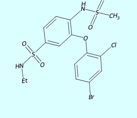 CCNS(=O)(=O)c1ccc(NS(C)(=O)=O)c(Oc2ccc(Br)cc2Cl)c1